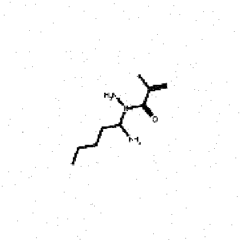 C=C(C)C(=O)N(N)C(N)CCCC